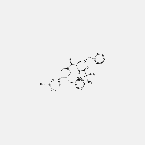 CN(C)NC(=O)[C@H]1CCN(C(=O)[C@@H](COCc2ccccc2)NC(=O)C(C)(C)N)C[C@@H]1Cc1ccccc1